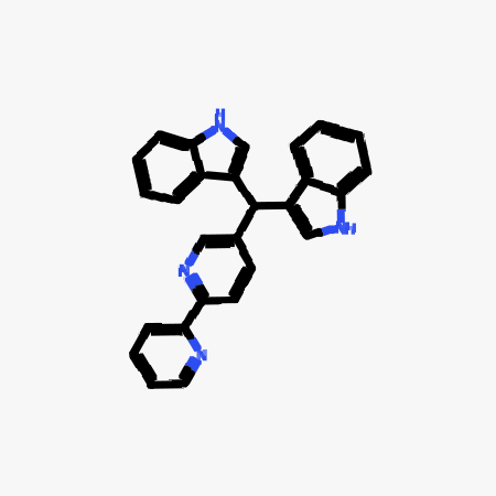 c1ccc(-c2ccc(C(c3c[nH]c4ccccc34)c3c[nH]c4ccccc34)cn2)nc1